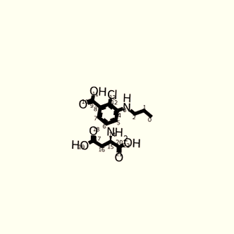 CCCNc1cccc(C(=O)O)c1Cl.N[C@H](CC(=O)O)C(=O)O